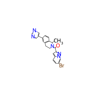 CC1c2ccc(-c3cncnc3)cc2CCN1C(=O)c1cc2ccc(Br)cn2n1